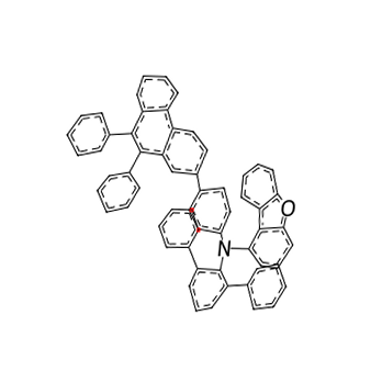 c1ccc(-c2cccc(-c3ccccc3)c2N(c2ccc(-c3ccc4c(c3)c(-c3ccccc3)c(-c3ccccc3)c3ccccc34)cc2)c2cccc3oc4ccccc4c23)cc1